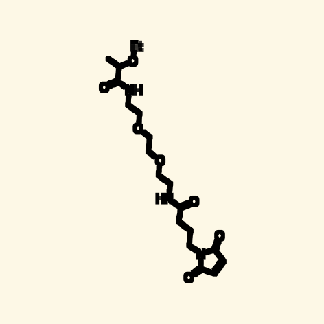 CCOC(C)C(=O)NCCOCCOCCNC(=O)CCCN1C(=O)C=CC1=O